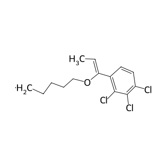 [CH2]CCCCOC(=CC)c1ccc(Cl)c(Cl)c1Cl